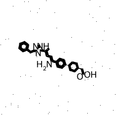 C/C(=C\C=C(/N)c1ccc([C@H]2CC[C@H](CC(=O)O)CC2)cc1)c1nc(Cc2ccccc2)n[nH]1